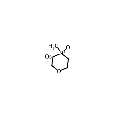 C[N+]1([O-])CCOCC1.[Os]